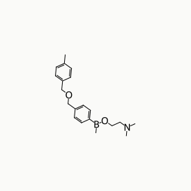 CB(OCCN(C)C)c1ccc(COCc2ccc(C)cc2)cc1